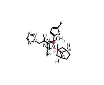 Cc1nnc(C(C)C)n1[C@@H]1C[C@H]2CC[C@@H](C1)N2CC[C@H](NC(=O)Cn1ncnn1)c1ccc(F)s1